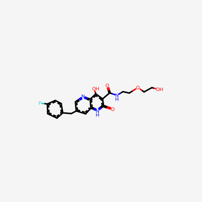 O=C(NCCOCCO)c1c(O)c2ncc(Cc3ccc(F)cc3)cc2[nH]c1=O